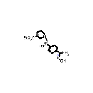 CCOC(=O)[C@H]1CCCN(C[C@@H](O)c2ccc(/C(N)=N/O)cc2)C1